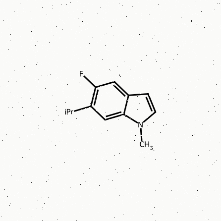 CC(C)c1cc2c(ccn2C)cc1F